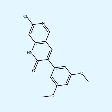 COc1cc(OC)cc(-c2cc3cnc(Cl)cc3[nH]c2=O)c1